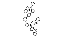 c1ccc(-c2c3cccc(-c4ccc(-c5cccc(-c6cccc(N(c7ccc8c(c7)oc7ccccc78)c7ccc8c(c7)oc7ccccc78)c6)c5)cc4)c3n3c2ccc2ccccc23)cc1